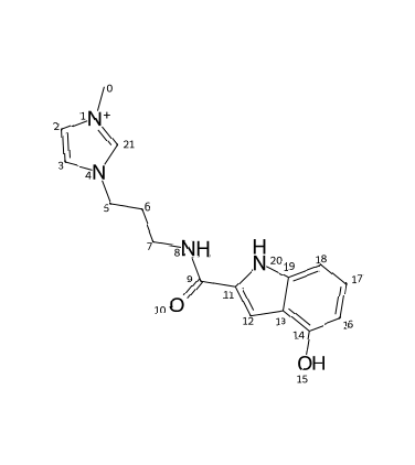 C[n+]1ccn(CCCNC(=O)c2cc3c(O)cccc3[nH]2)c1